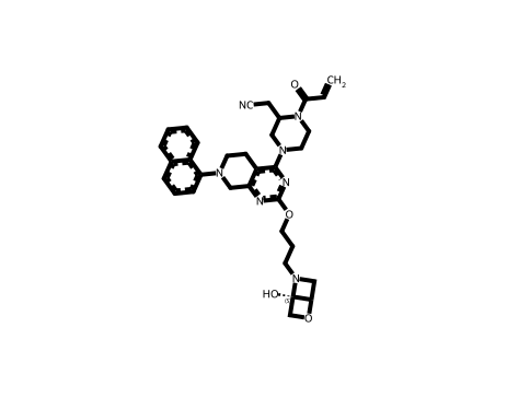 C=CC(=O)N1CCN(c2nc(OCCCN3CC4OC[C@]43O)nc3c2CCN(c2cccc4ccccc24)C3)CC1CC#N